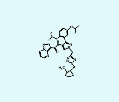 CN1CCC[C@@H]1Cn1nnc(Cn2cc(NC(=O)c3cnn4cccnc34)c(-c3cc(OC(F)F)ccc3OC(F)F)n2)n1